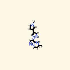 Cc1ccn2ncc(-n3cc(-c4ccn(C)c4)cn3)c2n1